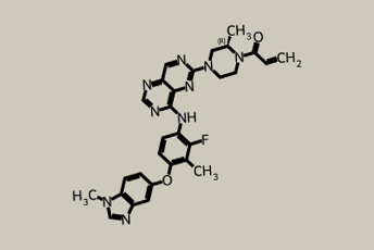 C=CC(=O)N1CCN(c2ncc3ncnc(Nc4ccc(Oc5ccc6c(c5)ncn6C)c(C)c4F)c3n2)C[C@H]1C